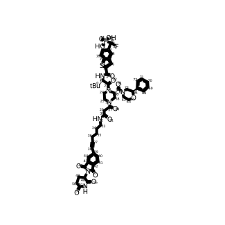 CC(C)(C)[C@H](NC(=O)c1cc2cc(C(F)(F)P(=O)(O)O)ccc2s1)C(=O)N1CCN(C(=O)CC(=O)NCCCCC#Cc2ccc3c(c2)C(=O)N(C2CCC(=O)NC2=O)C3=O)C[C@H]1C(=O)N1CCO[C@H](c2ccccc2)C1